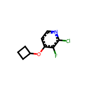 Fc1c(OC2CCC2)ccnc1Cl